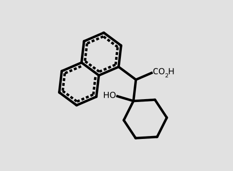 O=C(O)C(c1cccc2ccccc12)C1(O)CCCCC1